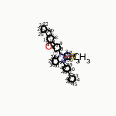 CC/C=C\C(C)=C(/c1ccc2c(c1)oc1cc3c(cc12)Cc1ccccc1-3)c1ccccc1/C(=C(\C)C=S)c1ccc(-c2ccccc2)cc1